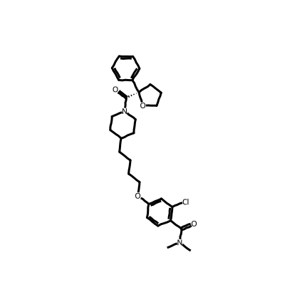 CN(C)C(=O)c1ccc(OCCCCC2CCN(C(=O)[C@]3(c4ccccc4)CCCO3)CC2)cc1Cl